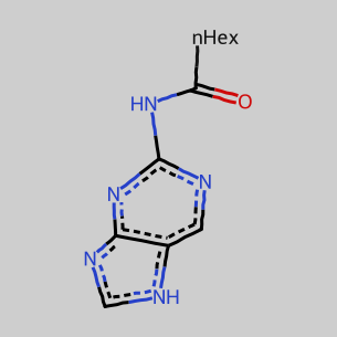 CCCCCCC(=O)Nc1ncc2[nH]cnc2n1